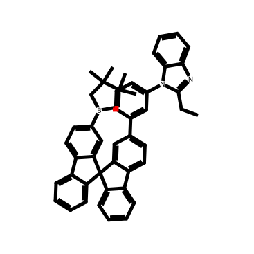 CCc1nc2ccccc2n1-c1cccc(-c2ccc3c(c2)C2(c4ccccc4-c4ccc(B5CC(C)(C)C(C)(C)C5)cc42)c2ccccc2-3)c1